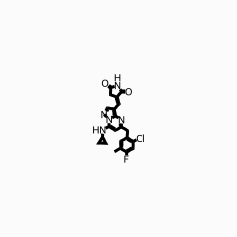 Cc1cc(Cc2cc(NC3CC3)n3ncc(/C=C4\CC(=O)NC4=O)c3n2)c(Cl)cc1F